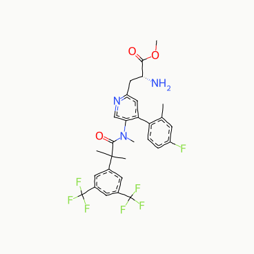 COC(=O)[C@H](N)Cc1cc(-c2ccc(F)cc2C)c(N(C)C(=O)C(C)(C)c2cc(C(F)(F)F)cc(C(F)(F)F)c2)cn1